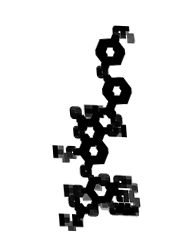 CO[C@@H]1[C@@H](OC(N)=O)[C@@H](O)[C@H](Oc2ccc3c(O)c(NC(=O)c4cccc(Oc5ccc(C(F)(F)F)cc5)c4)c(=O)oc3c2C)OC1(C)C